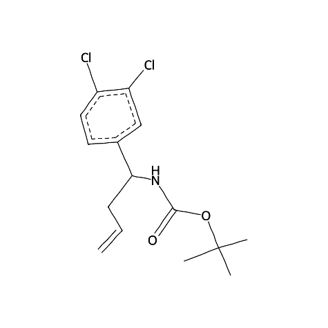 C=CCC(NC(=O)OC(C)(C)C)c1ccc(Cl)c(Cl)c1